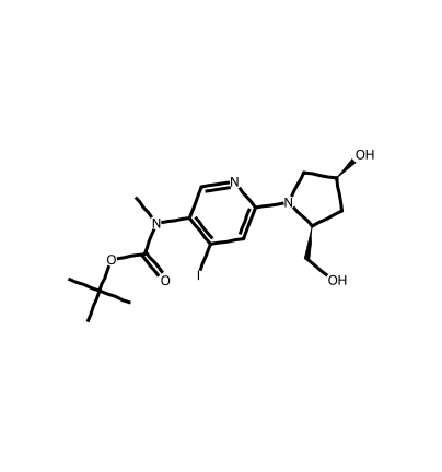 CN(C(=O)OC(C)(C)C)c1cnc(N2C[C@@H](O)C[C@H]2CO)cc1I